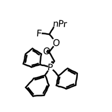 CCCC(F)OC(=O)C=P(c1ccccc1)(c1ccccc1)c1ccccc1